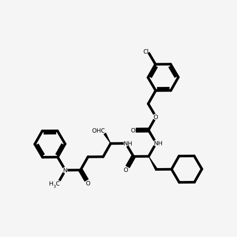 CN(C(=O)CC[C@@H](C=O)NC(=O)[C@H](CC1CCCCC1)NC(=O)OCc1cccc(Cl)c1)c1ccccc1